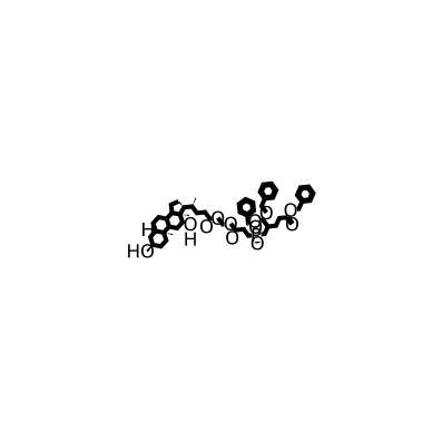 C[C@H](CCC(=O)OCOC(=O)CCP(=O)(CC(CCC(=O)OCc1ccccc1)C(=O)OCc1ccccc1)OCc1ccccc1)[C@H]1CCC2C3CC[C@@H]4C[C@H](O)CC[C@]4(C)C3C[C@H](O)[C@@]21C